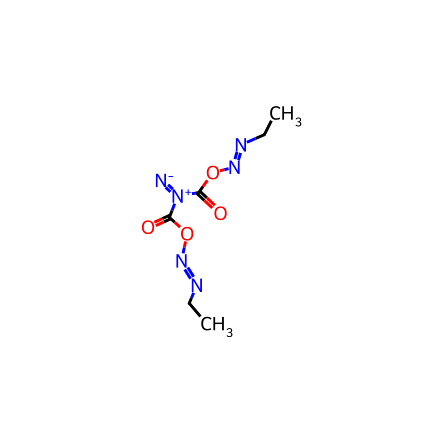 CCN=NOC(=O)[N+](=[N-])C(=O)ON=NCC